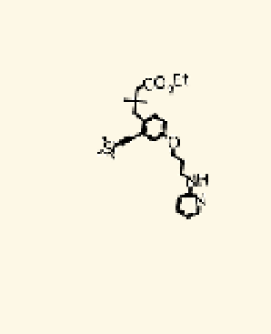 CCOC(=O)CC(C)(C)Cc1ccc(OCCCNc2ccccn2)cc1C#C[Si](C)(C)C